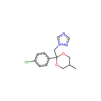 CC1COC(Cn2cncn2)(c2ccc(Cl)cc2)OC1